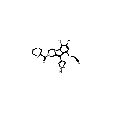 N#CCOc1cc(Cl)c(Cl)c2c1c(-c1cn[nH]c1)c1n2CCN(C(=O)C2COCCO2)C1